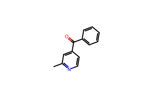 Cc1cc(C(=O)c2ccccc2)ccn1